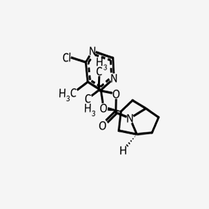 Cc1c(Cl)ncnc1O[C@H]1CC2CC[C@@H](C1)N2C(=O)OC(C)C